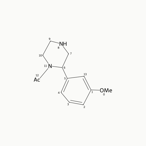 COc1cccc(C2CNCCN2C(C)=O)c1